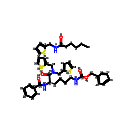 CCCCCC(=O)NCc1cccs1.O=C(NCCCC[C@H](NC(=O)c1ccccc1)C(=O)N(Cc1cccs1)Cc1cccs1)OCc1ccccc1